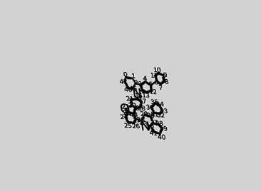 C1=CC2c3cc(-c4ccccc4)ccc3N(c3ccc4c(c3)oc3cccc(-c5cc(-c6ccccc6)c6ccccc6n5)c34)C2C=C1